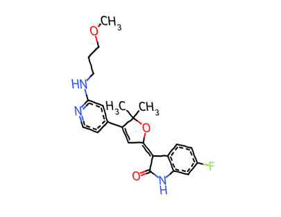 COCCCNc1cc(C2=C/C(=C3\C(=O)Nc4cc(F)ccc43)OC2(C)C)ccn1